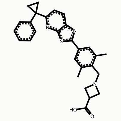 Cc1cc(-c2nc3ccc(C4(c5ccccc5)CC4)nc3s2)cc(C)c1CN1CC(C(=O)O)C1